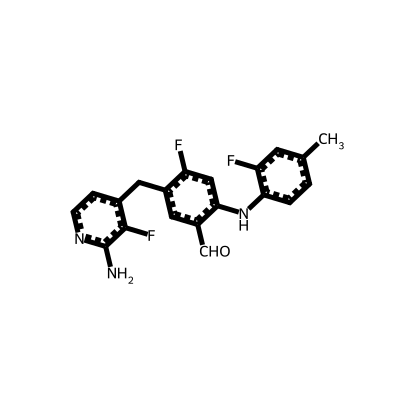 Cc1ccc(Nc2cc(F)c(Cc3ccnc(N)c3F)cc2C=O)c(F)c1